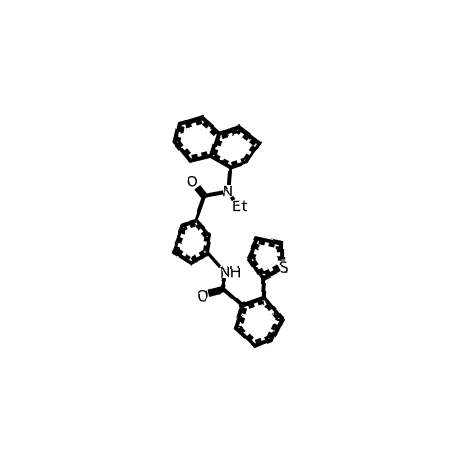 CCN(C(=O)c1cccc(NC(=O)c2ccccc2-c2cccs2)c1)c1cccc2ccccc12